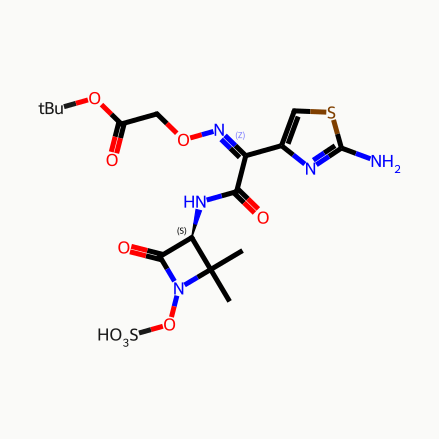 CC(C)(C)OC(=O)CO/N=C(\C(=O)N[C@@H]1C(=O)N(OS(=O)(=O)O)C1(C)C)c1csc(N)n1